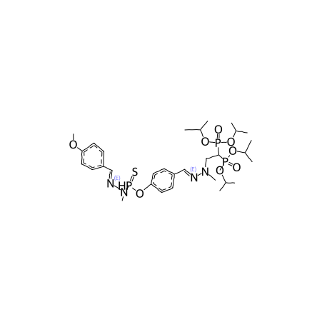 COc1ccc(/C=N/N(C)[PH](=S)Oc2ccc(/C=N/N(C)CC(P(=O)(OC(C)C)OC(C)C)P(=O)(OC(C)C)OC(C)C)cc2)cc1